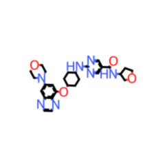 O=C(NC1CCOC1)c1cnc(NC2CCC(Oc3cc(N4CCOCC4)cc4nccnc34)CC2)nc1